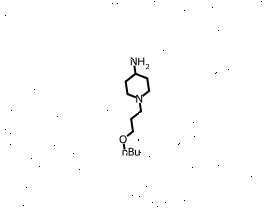 CCCCOCCCN1CCC(N)CC1